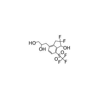 O=S(=O)(c1ccc(CC(O)CO)c2c1C(O)C(F)(F)C2)C(F)(F)F